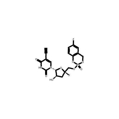 C#Cc1cn([C@@H]2O[C@](F)(COP3(=O)OCc4cc(F)ccc4O3)C[C@H]2O)c(=O)[nH]c1=O